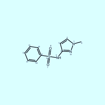 Cn1ccc(NS(=O)(=O)c2ccccc2)n1